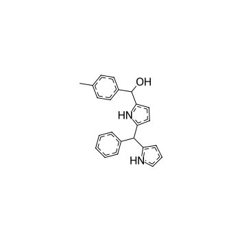 Cc1ccc(C(O)c2ccc(C(c3ccccc3)c3ccc[nH]3)[nH]2)cc1